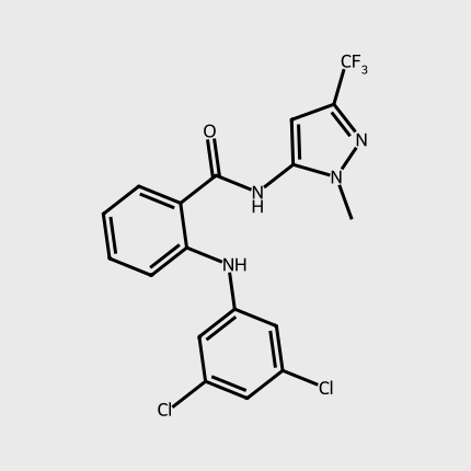 Cn1nc(C(F)(F)F)cc1NC(=O)c1ccccc1Nc1cc(Cl)cc(Cl)c1